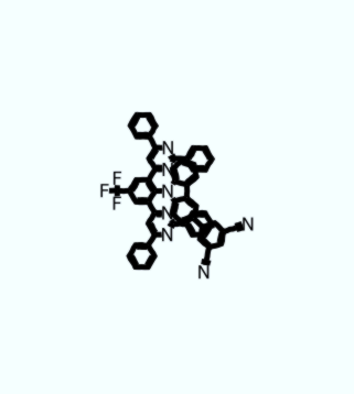 N#Cc1cc(C#N)cc(-c2ccc3c(c2)c2ccccc2n3-c2c(-c3cc(-c4ccccc4)nc(-c4ccccc4)n3)cc(C(F)(F)F)cc2-c2cc(-c3ccccc3)nc(-c3ccccc3)n2)c1